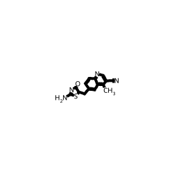 Cc1c(C#N)cnc2ccc(CC3SC(N)=NC3=O)cc12